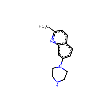 O=C(O)c1ccc2ccc(N3CCNCC3)cc2n1